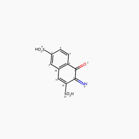 N=C1C(=O)c2ccc(S(=O)(=O)O)cc2C=C1S(=O)(=O)O